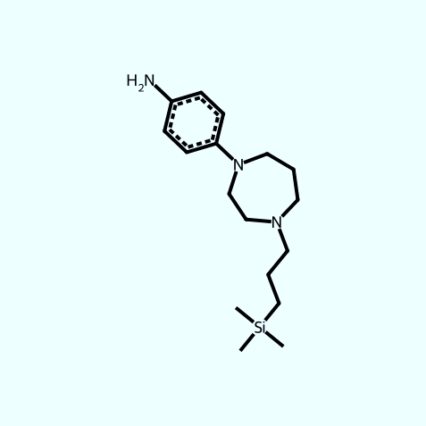 C[Si](C)(C)CCCN1CCCN(c2ccc(N)cc2)CC1